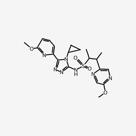 COc1cnc(C(C)C(C)S(=O)(=O)Nc2nnc(-c3cccc(OC)n3)n2C2CC2)cn1